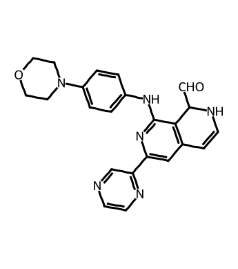 O=CC1NC=Cc2cc(-c3cnccn3)nc(Nc3ccc(N4CCOCC4)cc3)c21